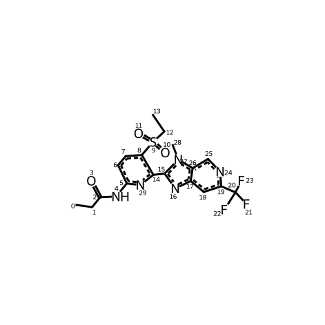 CCC(=O)Nc1ccc(S(=O)(=O)CC)c(-c2nc3cc(C(F)(F)F)ncc3n2C)n1